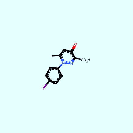 Cc1cc(=O)c(C(=O)O)nn1-c1ccc(I)cc1